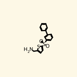 NCc1ccc(S(=O)(=O)c2cccc(-c3ccccc3)c2)s1